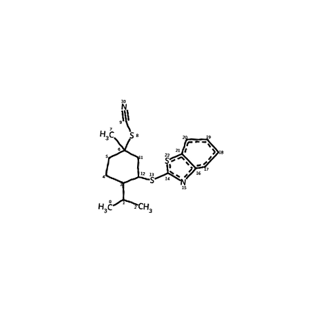 CC(C)C1CCC(C)(SC#N)CC1Sc1nc2ccccc2s1